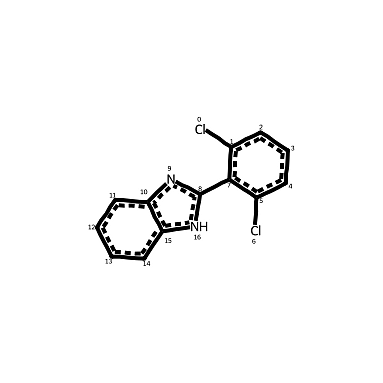 Clc1cccc(Cl)c1-c1nc2ccccc2[nH]1